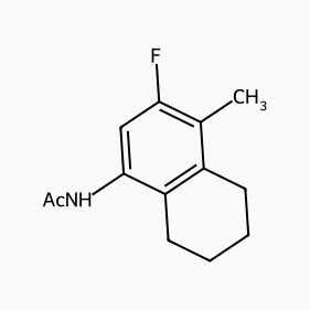 CC(=O)Nc1cc(F)c(C)c2c1CCCC2